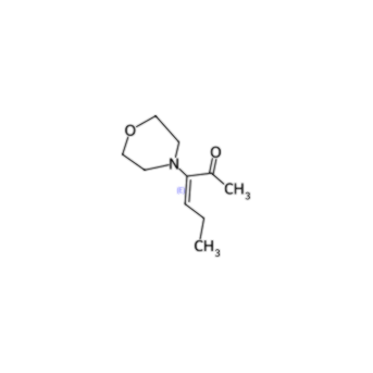 CC/C=C(\C(C)=O)N1CCOCC1